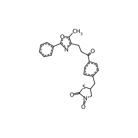 Cc1oc(-c2ccccc2)nc1CCC(=O)c1ccc(CC2C[N+](=O)C(=O)S2)cc1